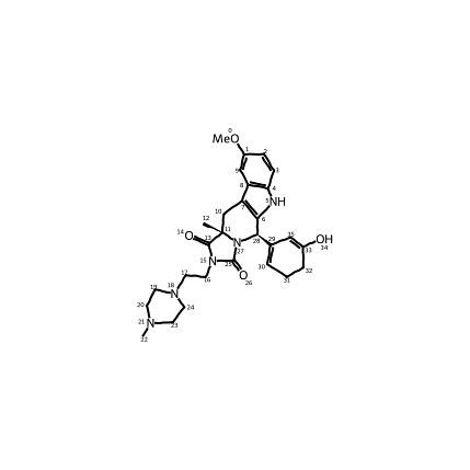 COc1ccc2[nH]c3c(c2c1)C[C@@]1(C)C(=O)N(CCN2CCN(C)CC2)C(=O)N1[C@@H]3C1=CCCC(O)=C1